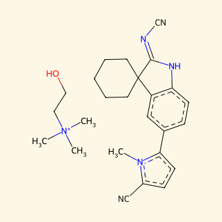 C[N+](C)(C)CCO.Cn1c(C#N)ccc1-c1ccc2c(c1)C1(CCCCC1)C(=NC#N)N2